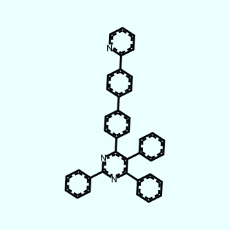 c1ccc(-c2nc(-c3ccccc3)c(-c3ccccc3)c(-c3ccc(-c4ccc(-c5ccccn5)cc4)cc3)n2)cc1